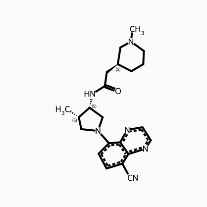 C[C@H]1CN(c2ccc(C#N)c3nccnc23)C[C@H]1NC(=O)C[C@@H]1CCCN(C)C1